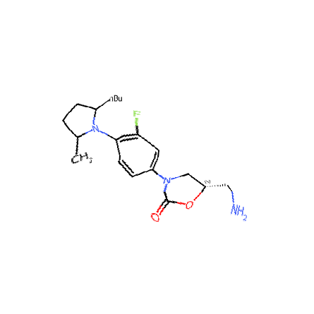 CCCCC1CCC(C)N1c1ccc(N2C[C@H](CN)OC2=O)cc1F